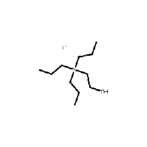 CCC[N+](CCC)(CCC)CCO.[F-]